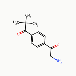 CC(C)(C)C(=O)c1ccc(C(=O)CN)cc1